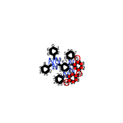 c1ccc(-c2nc(-c3ccccc3)nc(-c3cc(N4c5ccccc5Oc5ccccc54)c(N4c5ccccc5Oc5ccccc54)c(N4c5ccccc5Oc5ccccc54)c3)n2)cc1